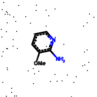 COc1c[c]cnc1N